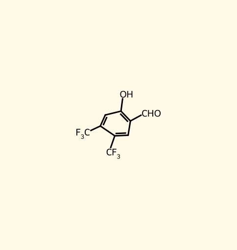 O=Cc1cc(C(F)(F)F)c(C(F)(F)F)cc1O